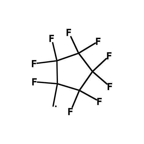 [CH2]C1(F)C(F)(F)C(F)(F)C(F)(F)C1(F)F